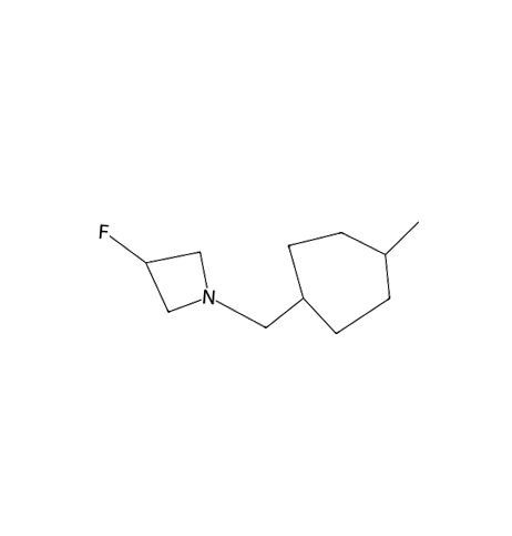 CC1CCC(CN2CC(F)C2)CC1